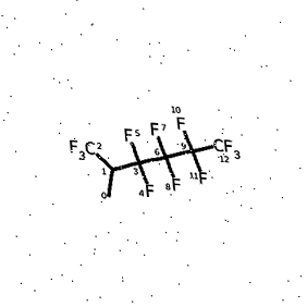 CC(C(F)(F)F)C(F)(F)C(F)(F)C(F)(F)C(F)(F)F